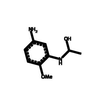 COc1ccc(N)cc1NC(C)O